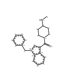 CNC1CCN(C(=O)c2cn(Cc3ccccc3)c3ccccc23)CC1